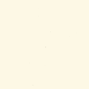 C=C(C)C(=O)OCC(CC)(CO)COC(=O)C(=C)C.OCC(CO)(CO)CO.OCC(CO)(CO)CO